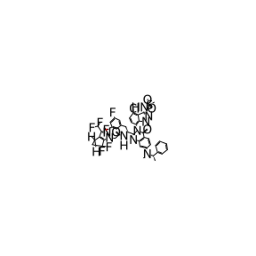 C[C@H](c1ccccc1)N(C)c1ccc2c(=O)n(-c3ccc(Cl)c4c(NS(C)(=O)=O)nn(C)c34)c([C@H](Cc3cc(F)cc(F)c3)NC(=O)Cn3nc(C(F)F)c4c3C(F)(F)[C@@H]3C[C@H]43)nc2c1